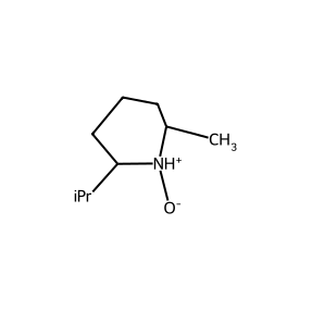 CC(C)C1CCCC(C)[NH+]1[O-]